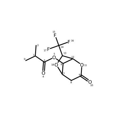 CC(C)C(=O)OC1C2CC(=O)OC1C(C(F)(F)F)O2